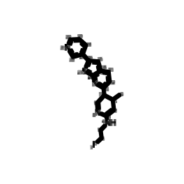 CC1C=C(NCCF)N=CC1c1ccc2cc(-c3cccnc3)sc2n1